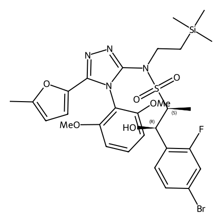 COc1cccc(OC)c1-n1c(-c2ccc(C)o2)nnc1N(CC[Si](C)(C)C)S(=O)(=O)[C@@H](C)[C@H](O)c1ccc(Br)cc1F